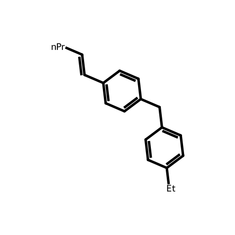 CCCC=Cc1ccc(Cc2ccc(CC)cc2)cc1